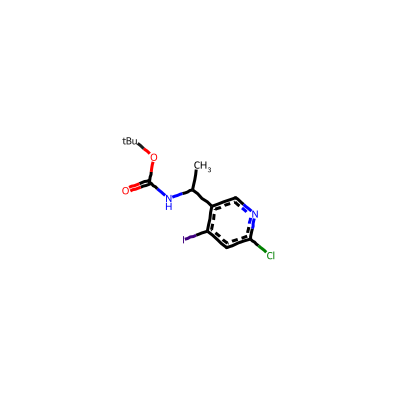 CC(NC(=O)OC(C)(C)C)c1cnc(Cl)cc1I